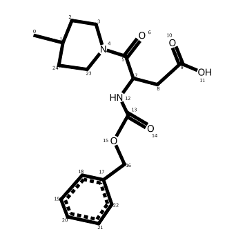 CC1CCN(C(=O)C(CC(=O)O)NC(=O)OCc2ccccc2)CC1